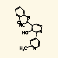 Cc1cc(-c2nccc(/C(C#N)=N/c3ccccc3Cl)c2O)ccn1